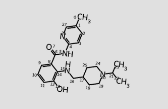 Cc1ccc(NC(=O)c2cccc(O)c2NCC2CCN(C(C)C)CC2)nc1